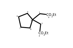 CCOC(=O)CC1(CC(=O)OCC)CCCC1